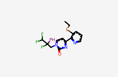 CCSc1cccnc1-c1ccn(CC(F)(P)C(F)F)c(=O)n1